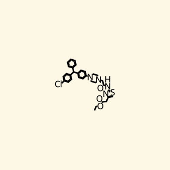 CCOC(=O)Cc1csc(NC(=O)CN2CCN(c3ccc(C(c4ccccc4)c4ccc(Cl)cc4)cc3)CC2)n1